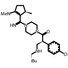 CC[C@@H](C)CNC[C@@H](C(=O)N1CCN(C(=N)C2=C(NC)CC[C@H]2C)CC1)c1ccc(Cl)cc1